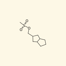 CS(=O)(=O)OCC1CC2CCCC2C1